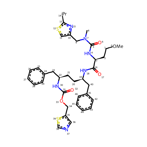 COCC[C@H](NC(=O)N(C)Cc1csc(C(C)C)n1)C(=O)N[C@H](CC[C@H](Cc1ccccc1)NC(=O)OCc1cncs1)Cc1ccccc1